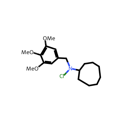 COc1cc(CN(Cl)C2CCCCCCC2)cc(OC)c1OC